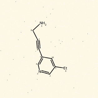 CCc1cncc(C#CCN)c1